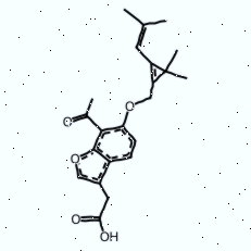 CC(=O)c1c(OCC2=C(C=C(C)C)C2(C)C)ccc2c(CC(=O)O)coc12